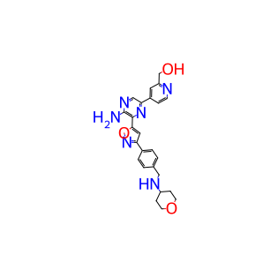 Nc1ncc(-c2ccnc(CO)c2)nc1-c1cc(-c2ccc(CNC3CCOCC3)cc2)no1